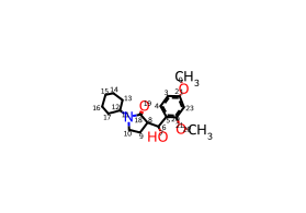 COc1ccc(C(O)C2CCN(C3CCCCC3)C2=O)c(OC)c1